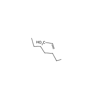 C=CC(=O)O.CCCCCCC